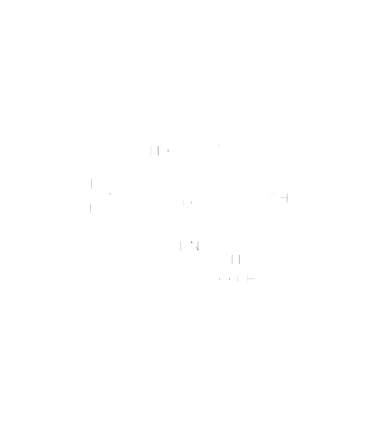 Cc1cc(C(C)Nc2ccccc2C(=O)O)c2oc(C3CCC(F)(F)CC3)c(C)c(=O)c2c1